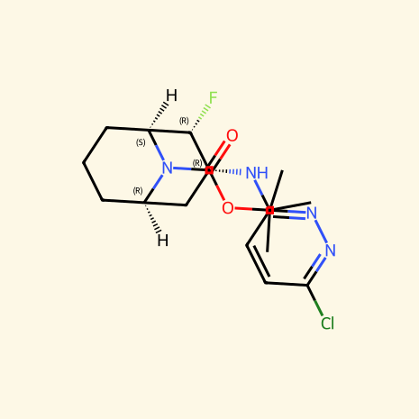 CC(C)(C)OC(=O)N1[C@@H]2CCC[C@H]1[C@H](F)[C@H](Nc1ccc(Cl)nn1)C2